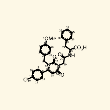 COc1ccc(Cn2c(-c3ccc(Cl)cc3)cc(=O)n(CC(=O)NC(Cc3ccccc3)C(=O)O)c2=O)cc1